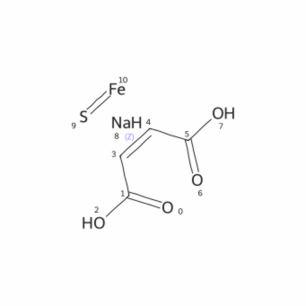 O=C(O)/C=C\C(=O)O.[NaH].[S]=[Fe]